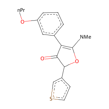 CCCOc1cccc(C2=C(NC)OC(c3ccsc3)C2=O)c1